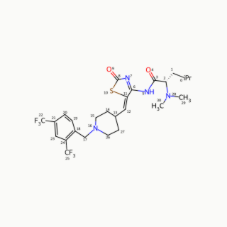 CC(C)C[C@@H](C(=O)NC1=NC(=O)S/C1=C\C1CCN(Cc2ccc(C(F)(F)F)cc2C(F)(F)F)CC1)N(C)C